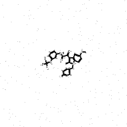 COc1ccc2c(c1)c(C(=O)C(=O)Nc1cccc(OC(F)(F)F)c1)c(C)n2Cc1ccc(Cl)cc1